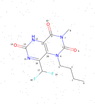 CCCCn1c(=O)n(C)c(=O)c2[nH]c(=O)nc(C(F)F)c21